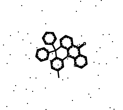 Cc1ccc2c(c1)-n1c3ncccc3c(=O)c3cccc(c31)C2(c1ccccc1)c1ccccc1